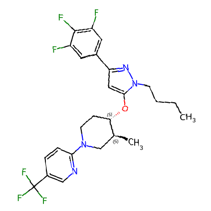 CCCCn1nc(-c2cc(F)c(F)c(F)c2)cc1O[C@H]1CCN(c2ccc(C(F)(F)F)cn2)C[C@@H]1C